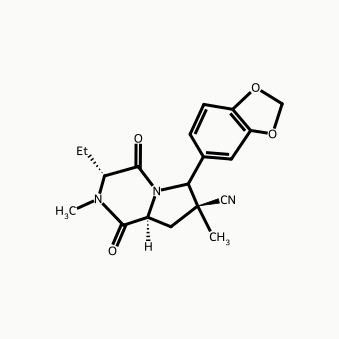 CC[C@@H]1C(=O)N2C(c3ccc4c(c3)OCO4)[C@@](C)(C#N)C[C@H]2C(=O)N1C